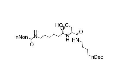 CCCCCCCCCCCCCCNC(=O)C(CC(=O)O)NC(=O)CCCCCNC(=O)CCCCCCCCC